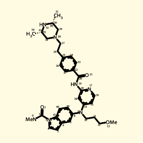 CNC(=O)n1ccc2cc(N(CCCOC)c3ccnc(NC(=O)c4ccc(CCN5C[C@@H](C)N[C@@H](C)C5)cc4)c3)ccc21